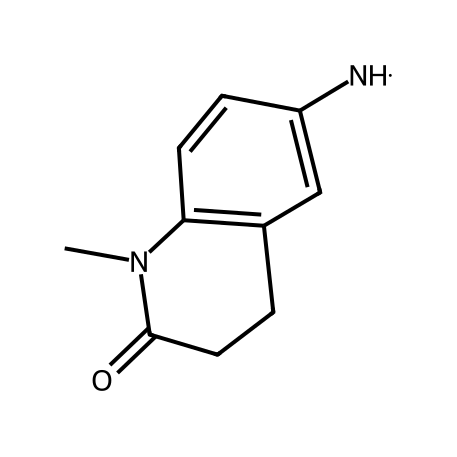 CN1C(=O)CCc2cc([NH])ccc21